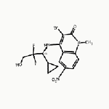 Cn1c(=O)c(Br)c(N[C@@H](C2CC2)C(F)(F)CO)c2cc([N+](=O)[O-])ccc21